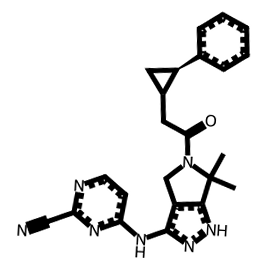 CC1(C)c2[nH]nc(Nc3ccnc(C#N)n3)c2CN1C(=O)CC1C[C@H]1c1ccccc1